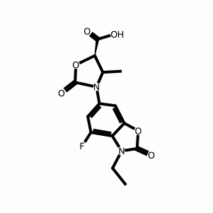 CCn1c(=O)oc2cc(N3C(=O)O[C@@H](C(=O)O)C3C)cc(F)c21